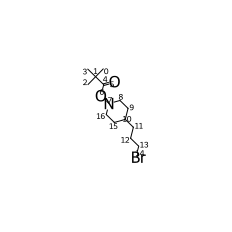 CC(C)(C)C(=O)ON1CCC(CCCBr)CC1